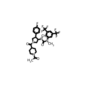 CC(=O)N1CCC(C(=O)N2CC(c3ccc(F)cc3)C(N(C)C(=O)N(C)c3cc(C(F)(F)F)cc(C(F)(F)F)c3)C2)CC1